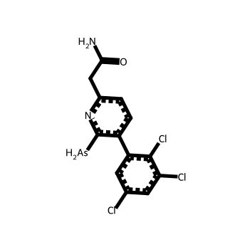 NC(=O)Cc1ccc(-c2cc(Cl)cc(Cl)c2Cl)c([AsH2])n1